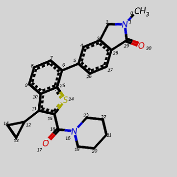 CN1Cc2cc(-c3cccc4c(C5CC5)c(C(=O)N5CCCCC5)sc34)ccc2C1=O